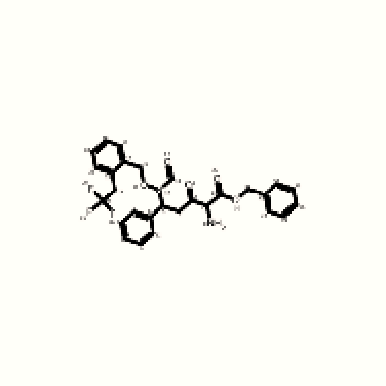 NC(C(=O)CC(c1ccccc1)N(C=O)OCc1ccccc1CC(F)(F)F)C(=O)OCc1ccccc1